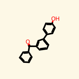 O=C(c1ccccc1)c1cccc(-c2ccc(O)cc2)c1